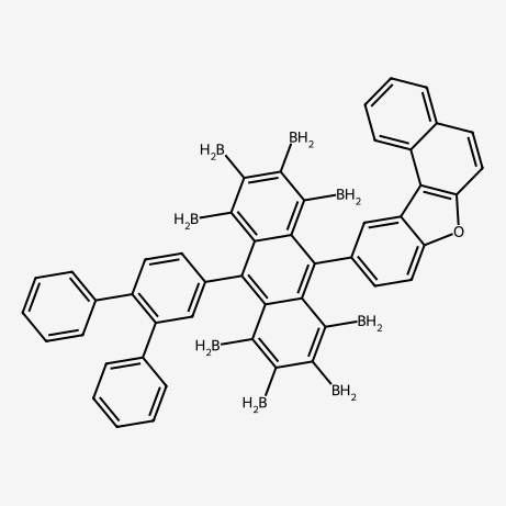 Bc1c(B)c(B)c2c(-c3ccc4oc5ccc6ccccc6c5c4c3)c3c(B)c(B)c(B)c(B)c3c(-c3ccc(-c4ccccc4)c(-c4ccccc4)c3)c2c1B